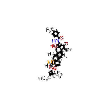 CC(C)C1=C2[C@H]3CC[C@@H]4[C@@]5(C)CC[C@H](OC(=O)[C@H]6C[C@@H](C(=O)O)C6(C)C)[C@@]6(C)P[C@@]56CC[C@@]4(C)[C@]3(C)CC[C@@]2([C@@H](O)CNC(=O)c2ccc(C(F)(F)F)cc2)CC1=O